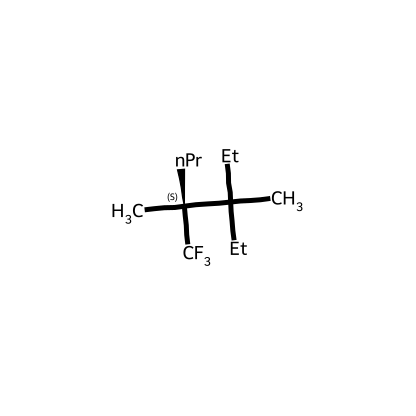 CCC[C@](C)(C(F)(F)F)C(C)(CC)CC